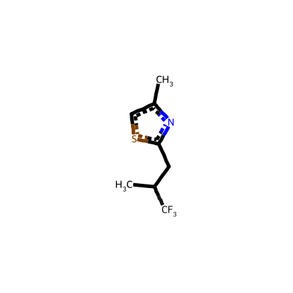 Cc1csc(CC(C)C(F)(F)F)n1